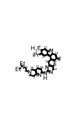 CCN(CC)CCN1CCc2nc(Nc3ncc(F)c(Cc4cc(F)cc5c4=C4C=C(C(C)C)C(C)C=C4N=5)n3)ccc2C1